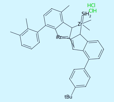 CC1=Cc2c(-c3cccc(C)c3C)ccc(C)c2[CH]1[Zr]([CH3])([CH3])(=[SiH2])[CH]1C(C(C)C)=Cc2c(-c3ccc(C(C)(C)C)cc3)cccc21.Cl.Cl